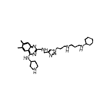 Cc1cc2nc(NCc3cn(CCCNCCCNC4CCCCC4)nn3)nc(NC3CCNCC3)c2cc1C